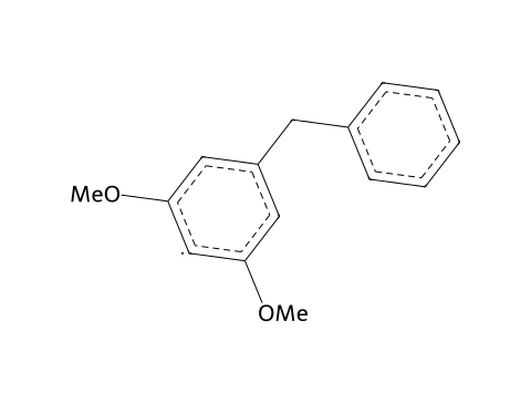 COc1[c]c(OC)cc(Cc2ccccc2)c1